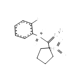 [N-]=[N+]=C(C1([SH](=O)=O)CCCC1)S(=O)(=O)c1ccccc1F